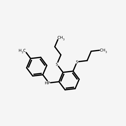 CCCSc1cccc(Pc2ccc(C)cc2)c1SCCC